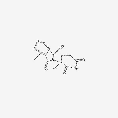 CCC1(N2C(=O)c3cccc(C)c3C2=O)CCC(=O)NC1=O